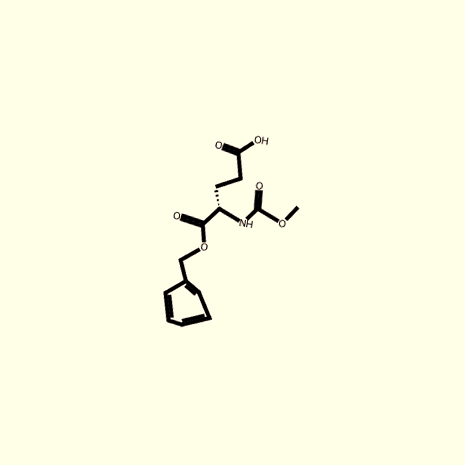 COC(=O)N[C@@H](CCC(=O)O)C(=O)OCc1ccccc1